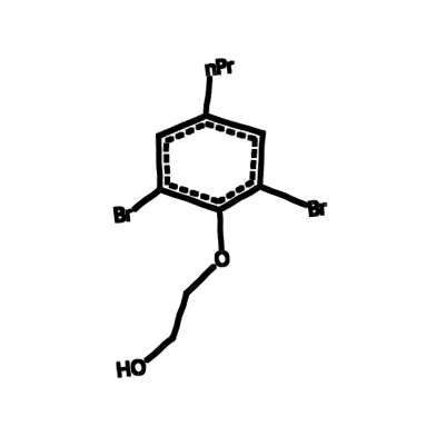 CCCc1cc(Br)c(OCCO)c(Br)c1